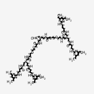 C=Cc1cc(C=C)nc(NCCCC(=O)NCCN(CCNC(=O)CCCNc2nc(C=C)cc(C=C)n2)CC(=O)NCCOCCOCC(=O)NCCN(CC=O)CCNC(=O)COCCOCCNC(=O)CN(CCNC(=O)CCCNc2nc(C=C)cc(C=C)n2)CCNC(=O)CCCNc2nc(C=C)cc(C=C)n2)n1